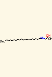 CCCCCCCCCCCCCCCCCCCCCCCCCCCCCCNCC(C)O